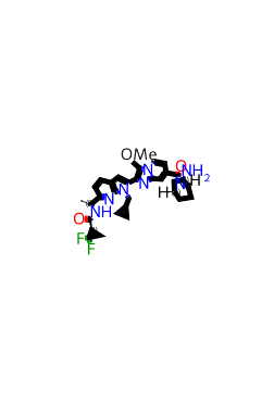 COc1cc(C(=O)N2[C@H]3CC[C@@H]2[C@H](N)C3)cc2nc(-c3cc4ccc([C@@H](C)NC(=O)[C@H]5CC5(F)F)nc4n3CC3CC3)c(C)n12